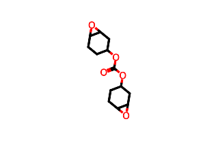 O=C(OC1CCC2OC2C1)OC1CCC2OC2C1